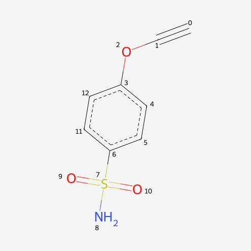 C#COc1ccc(S(N)(=O)=O)cc1